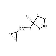 FC1(CNC2CC2)CCNC1